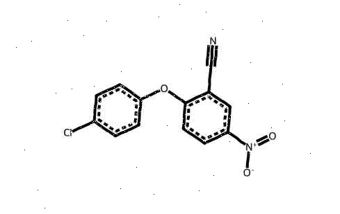 N#Cc1cc([N+](=O)[O-])ccc1Oc1ccc(Cl)cc1